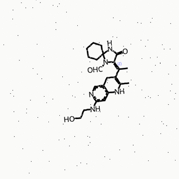 CC1=C(/C(C)=C2/C(=O)NC3(CCCCC3)N2C=O)Cc2cnc(NCCO)cc2N1